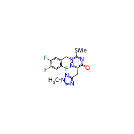 CSc1nc(=O)c(Cc2ncn(C)n2)nn1Cc1cc(F)c(F)cc1F